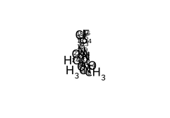 CN(C)C(=O)c1cn2ccn(Cc3ccc(F)c(Cl)c3)c(=O)c2c(O)c1=O